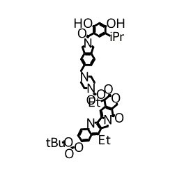 CCc1c2c(nc3ccc(OC(=O)OC(C)(C)C)cc13)-c1cc3c(c(=O)n1C2)COC(=O)C3(CC)OC(=O)N1CCN(Cc2ccc3c(c2)CN(C(=O)c2cc(C(C)C)c(O)cc2O)C3)CC1